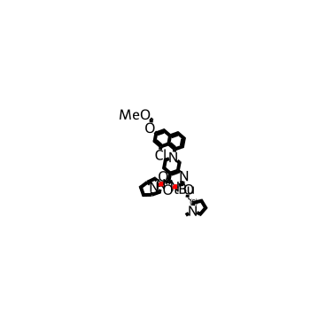 COCOc1cc(Cl)c2c(N3CCc4c(nc(OC[C@@H]5CCCN5C)nc4N4CC5CCC(C4)N5C(=O)OC(C)(C)C)C3)cccc2c1